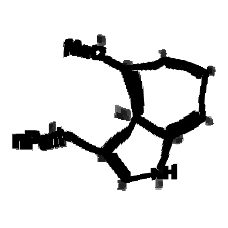 CCCCCc1c[nH]c2cccc(OC)c12